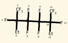 CCC(F)(C(F)(F)F)C(F)(F)C(F)(F)C(F)(CC)C(F)(F)F